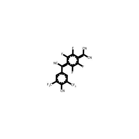 N#CC(C#N)=c1c(F)c(F)c(=C(C#N)c2cc(C(F)(F)F)c(C#N)c(C(F)(F)F)c2)c(F)c1F